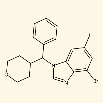 Brc1cc(I)cc2c1ncn2C(c1ccccc1)C1CCOCC1